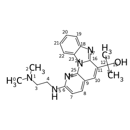 CN(C)CCNc1ccc2cc(C(C)(C)O)c3nc4ccccc4n3c2n1